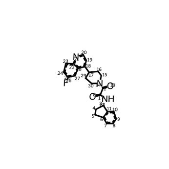 O=C(N[C@H]1CCc2ccccc21)C(=O)N1CCC(c2ccnc3ccc(F)cc23)CC1